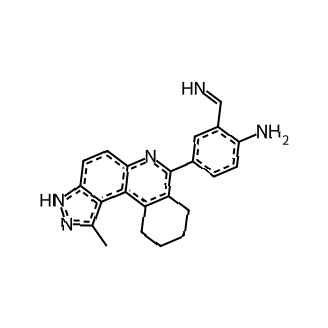 Cc1n[nH]c2ccc3nc(-c4ccc(N)c(C=N)c4)c4c(c3c12)CCCC4